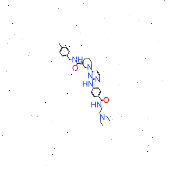 CCN(CC)CCNC(=O)c1ccc(Nc2nccc(N3CCC[C@H](C(=O)NCc4ccc(C)cc4)C3)n2)cc1